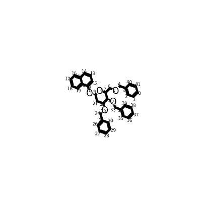 c1ccc(COCC2O[C@@H](Oc3cccc4ccccc34)CC(OCc3ccccc3)[C@@H]2OCc2ccccc2)cc1